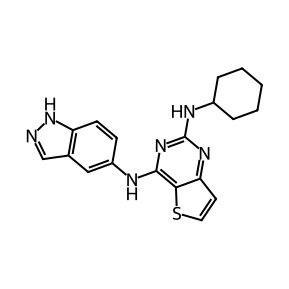 c1cc2nc(NC3CCCCC3)nc(Nc3ccc4[nH]ncc4c3)c2s1